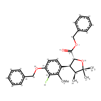 COc1c([C@H]2[C@H](C(=O)OCc3ccccc3)O[C@@](C)(C(F)(F)F)[C@H]2C)ccc(OCc2ccccc2)c1F